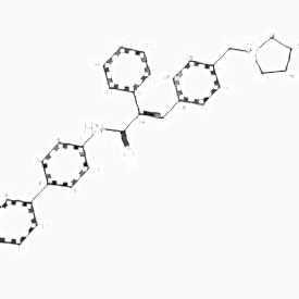 O=C(Nc1ccc(-c2ccc(Cl)cc2)cc1)C(=Cc1ccc(CN2CCCC2)cc1)c1ccccc1